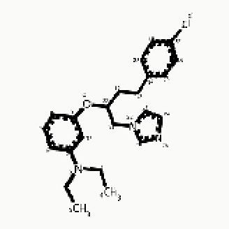 CCN(CC)c1cccc(OC(CCc2ccc(Cl)cc2)Cn2ccnc2)c1